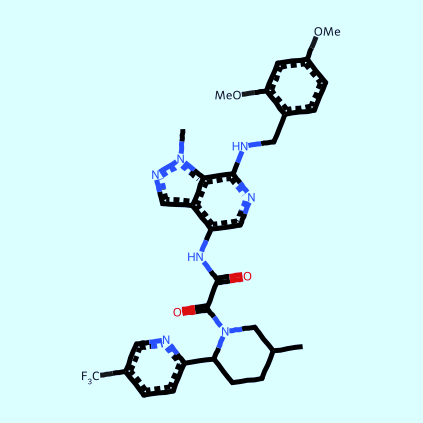 COc1ccc(CNc2ncc(NC(=O)C(=O)N3CC(C)CCC3c3ccc(C(F)(F)F)cn3)c3cnn(C)c23)c(OC)c1